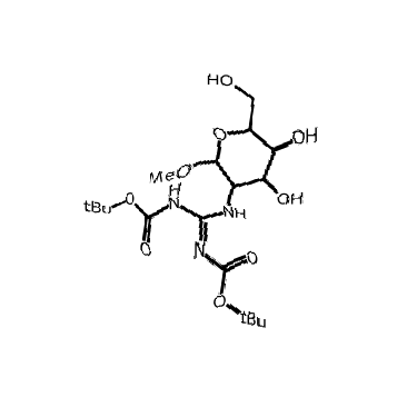 COC1OC(CO)C(O)C(O)C1N/C(=N\C(=O)OC(C)(C)C)NC(=O)OC(C)(C)C